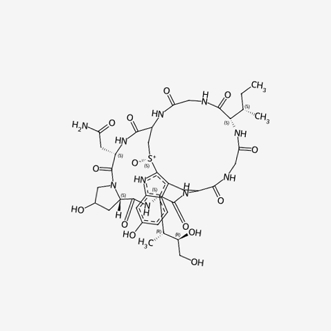 CC[C@H](C)[C@@H]1NC(=O)CNC(=O)C2Cc3c([nH]c4cc(O)ccc34)[S@+]([O-])CC(NC(=O)CNC1=O)C(=O)N[C@@H](CC(N)=O)C(=O)N1CC(O)C[C@H]1C(=O)N[C@@H]([C@@H](C)[C@@H](O)CO)C(=O)N2